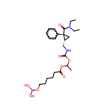 CCN(CC)C(=O)[C@]1(c2ccccc2)C[C@@H]1CNC(=O)OC(C)OC(=O)CCCCCON(O)O